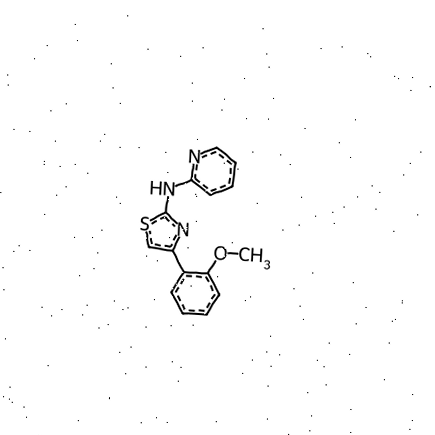 COc1ccccc1-c1csc(Nc2ccccn2)n1